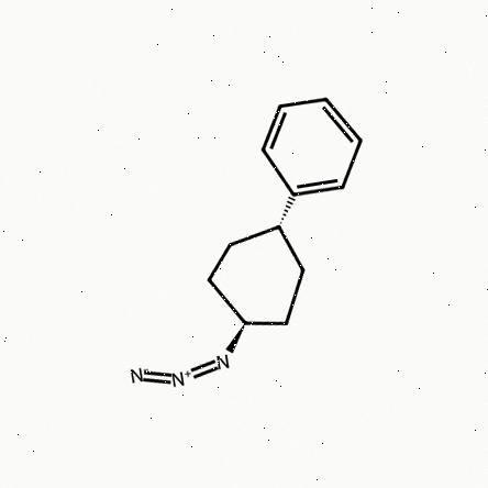 [N-]=[N+]=N[C@H]1CC[C@H](c2ccccc2)CC1